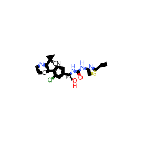 C#Cc1nc(NC(=O)N[C@@H](CO)c2ccc(-c3cccnc3C3(C#N)CC3)c(Cl)c2)cs1